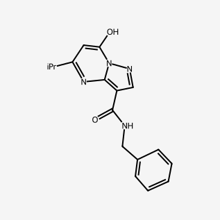 CC(C)c1cc(O)n2ncc(C(=O)NCc3ccccc3)c2n1